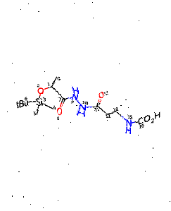 CC(O[Si](C)(C)C(C)(C)C)C(=O)NNC(=O)CCNC(=O)O